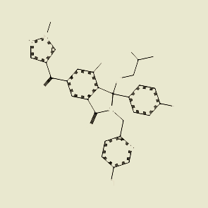 CC(O)COC1(c2ccc(Cl)cc2)c2c(F)cc(C(=O)c3cnn(C)c3)cc2C(=O)N1Cc1ccc(Cl)cn1